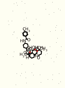 C=C1C(=O)[C@]23[C@H](OC(=O)C4CCC(NC(=O)c5ccc(C)cc5)CC4)[C@H]1CC[C@H]2[C@@]12CO[C@]3(O)[C@@H](O)[C@@H]1C(C)(C)CCC2=O